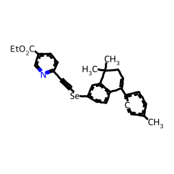 CCOC(=O)c1ccc(C#C[Se]c2ccc3c(c2)C(C)(C)CC=C3c2ccc(C)cc2)nc1